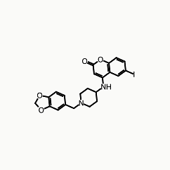 O=c1cc(NC2CCN(Cc3ccc4c(c3)OCO4)CC2)c2cc(I)ccc2o1